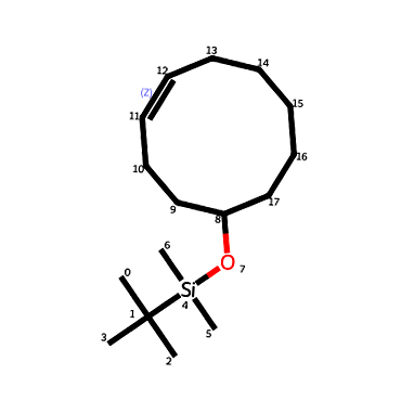 CC(C)(C)[Si](C)(C)OC1CC/C=C\CCCCC1